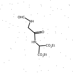 CCOC(=O)C(NC(=O)CNC=O)C(=O)OCC